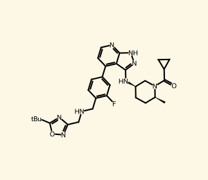 C[C@H]1CC[C@@H](Nc2n[nH]c3nccc(-c4ccc(CNCc5noc(C(C)(C)C)n5)c(F)c4)c23)CN1C(=O)C1CC1